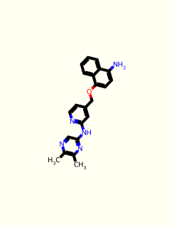 Cc1ncc(Nc2cc(COc3ccc(N)c4ccccc34)ccn2)nc1C